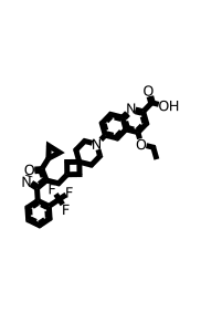 CCOc1cc(C(=O)O)nc2ccc(N3CCC4(CC3)CC(Cc3c(-c5ccccc5C(F)(F)F)noc3C3CC3)C4)cc12